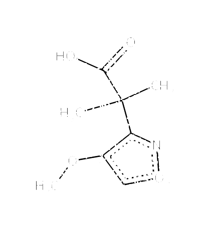 COc1conc1C(C)(C)C(=O)O